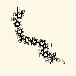 CCN(C)S(=O)(=O)Nc1ccc(F)c(C(=O)c2c[nH]c3ncc(-c4cnc(N5CCN(C(=O)C(F)(F)C6CCN(c7ccc(NC8CCC(=O)NC8=O)cc7)CC6)CC5)nc4)cc23)c1F